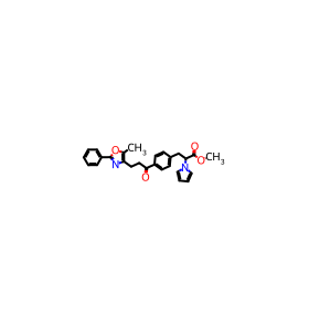 COC(=O)C(Cc1ccc(C(=O)CCc2nc(-c3ccccc3)oc2C)cc1)n1cccc1